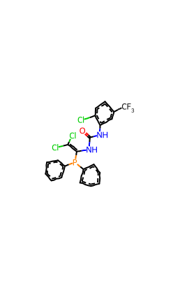 O=C(NC(=C(Cl)Cl)P(c1ccccc1)c1ccccc1)Nc1cc(C(F)(F)F)ccc1Cl